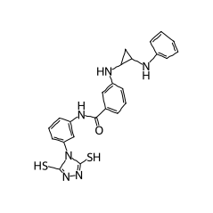 O=C(Nc1cccc(-n2c(S)nnc2S)c1)c1cccc(NC2CC2Nc2ccccc2)c1